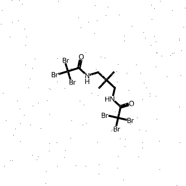 CC(C)(CNC(=O)C(Br)(Br)Br)CNC(=O)C(Br)(Br)Br